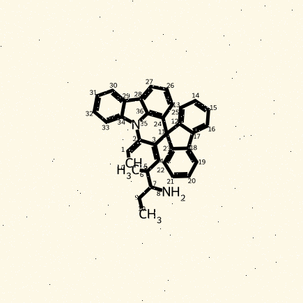 C/C=C1\C(=C/C(C)C(N)CC)C2(c3ccccc3-c3ccccc32)c2cccc3c4ccccc4n1c23